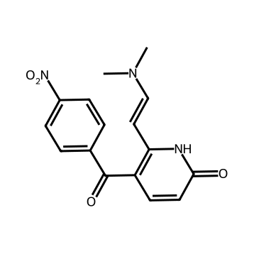 CN(C)/C=C/c1[nH]c(=O)ccc1C(=O)c1ccc([N+](=O)[O-])cc1